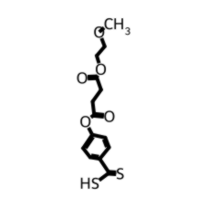 COCCOC(=O)CCC(=O)Oc1ccc(C(=S)S)cc1